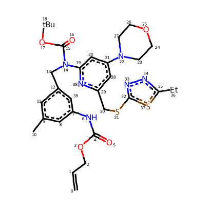 C=CCOC(=O)Nc1cc(C)cc(CN(C(=O)OC(C)(C)C)c2cc(N3CCOCC3)cc(CSc3nnc(CC)s3)n2)c1